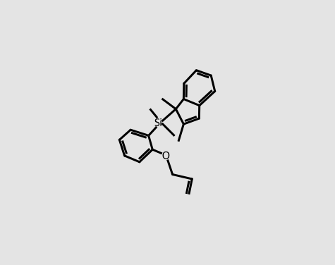 C=CCOc1ccccc1[Si](C)(C)C1(C)C(C)=Cc2ccccc21